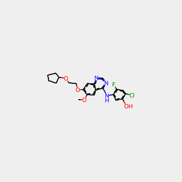 COc1cc2c(Nc3cc(O)c(Cl)cc3F)ncnc2cc1OCCOC1CCCC1